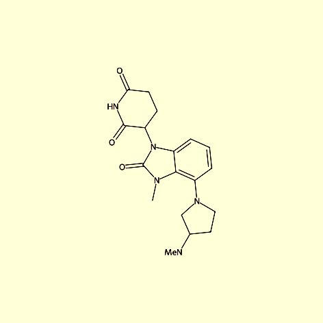 CNC1CCN(c2cccc3c2n(C)c(=O)n3C2CCC(=O)NC2=O)C1